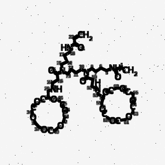 C=CC(=O)NCCCCN(CCCCN(CCCCNC(=O)C=C)C(=O)CCNCC1COCCOCCOCCOCCOCCO1)C(=O)CCNCC1COCCOCCOCCOCCOCCO1